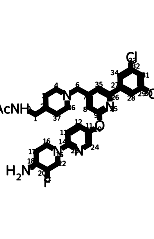 CC(=O)NCC1CCN(Cc2cc(Oc3ccc(N4CCC(N)C(F)C4)nc3)nc(-c3cc(Cl)cc(Cl)c3)c2)CC1